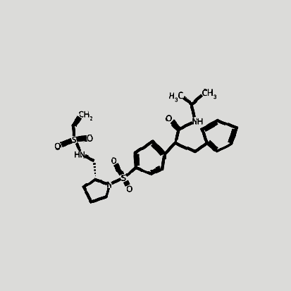 C=CS(=O)(=O)NC[C@H]1CCCN1S(=O)(=O)c1ccc(C(Cc2ccccc2)C(=O)NC(C)C)cc1